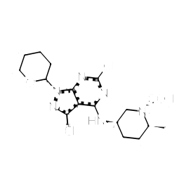 C[C@H]1CC[C@@H](Nc2nc(Cl)nc3c2c(Cl)nn3C2CCCCO2)CN1C(=O)O